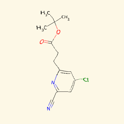 CC(C)(C)OC(=O)CCc1cc(Cl)cc(C#N)n1